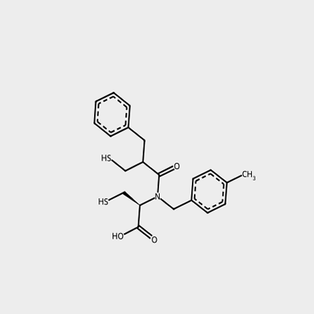 Cc1ccc(CN(C(=O)C(CS)Cc2ccccc2)[C@H](CS)C(=O)O)cc1